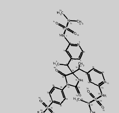 CC(c1ccnc(NS(=O)(=O)N(C)C)c1)C1(C(C)c2ccnc(NS(=O)(=O)N(C)C)c2)NC(=O)N(c2ccc(S(=O)(=O)C(F)(F)F)cc2)C1=O